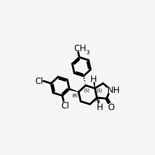 Cc1ccc([C@@H]2[C@@H]3CNC(=O)[C@@H]3CC[C@H]2c2ccc(Cl)cc2Cl)cc1